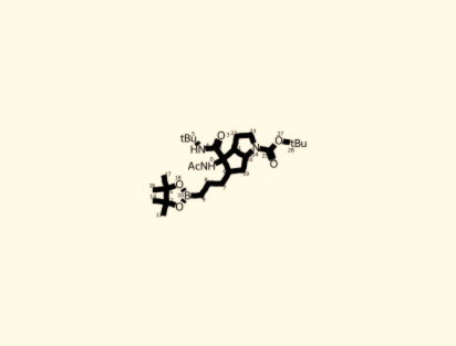 CC(=O)NC1(C(=O)NC(C)(C)C)C(CCCB2OC(C)(C)C(C)(C)O2)CC2C1CCN2C(=O)OC(C)(C)C